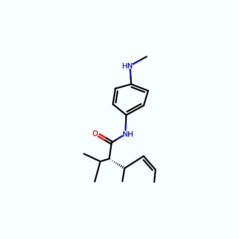 C/C=C\C(C)[C@@H](C(=O)Nc1ccc(NC)cc1)C(C)C